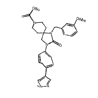 COc1cccc(CN2C(=O)N(c3ccc(-c4cn[nH]c4)cc3)CC23CCN(C(=O)OCC(C)C)CC3)c1